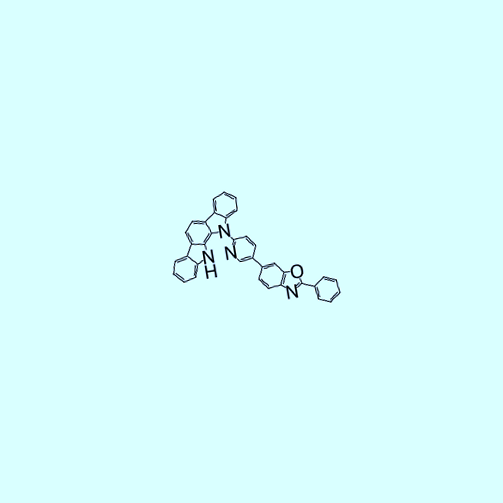 c1ccc(-c2nc3ccc(-c4ccc(-n5c6ccccc6c6ccc7c8ccccc8[nH]c7c65)nc4)cc3o2)cc1